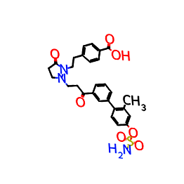 Cc1cc(OS(N)(=O)=O)ccc1-c1cccc(C(=O)CCN2CCC(=O)N2CCc2ccc(C(=O)O)cc2)c1